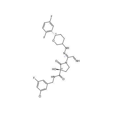 N=C/C(=N\NC1CC[C@@H](c2cc(F)ccc2F)OC1)N1CC[C@](O)(C(=O)NCc2cc(F)cc(Cl)c2)C1=O